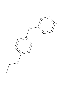 CCOc1ccc(Oc2cc[c]cc2)cc1